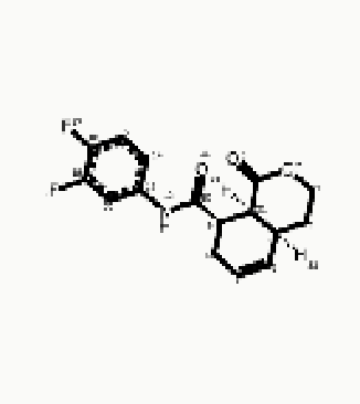 O=C1OCC[C@H]2C=CC[C@@H](C(=O)Nc3ccc(F)c(F)c3)[C@@H]12